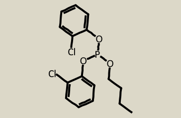 CCCCOP(Oc1ccccc1Cl)Oc1ccccc1Cl